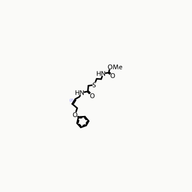 COC(=O)NCCSCC(=O)NC/C=C\COc1ccccc1